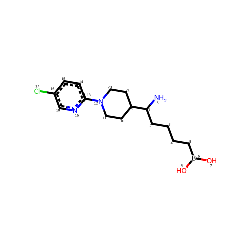 NC(CCCCB(O)O)C1CCN(c2ccc(Cl)cn2)CC1